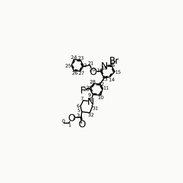 CCOC(=O)C1CCN(c2ccc(-c3ccc(Br)nc3OCc3ccccc3)cc2F)CC1